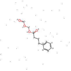 O=COCOC(=O)CCCc1ccccc1